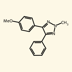 COc1ccc(-c2nn(C)nc2-c2ccccc2)cc1